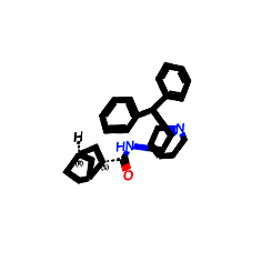 O=C(NC1C2CCN(CC2)C1C(c1ccccc1)c1ccccc1)[C@H]1C[C@@H]2CCC1C2